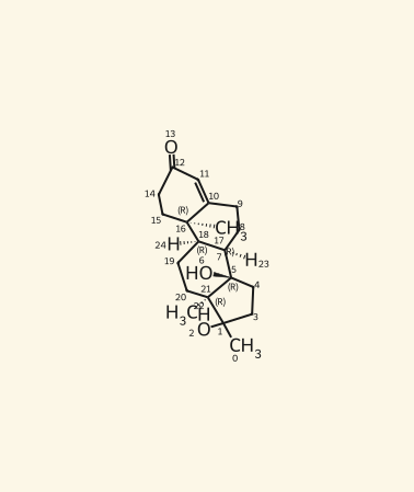 CC1(O)CC[C@@]2(O)[C@@H]3CCC4=CC(=O)CC[C@]4(C)[C@@H]3CC[C@]12C